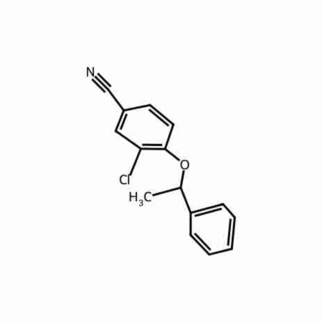 CC(Oc1ccc(C#N)cc1Cl)c1ccccc1